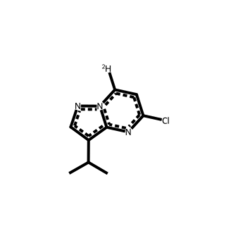 [2H]c1cc(Cl)nc2c(C(C)C)cnn12